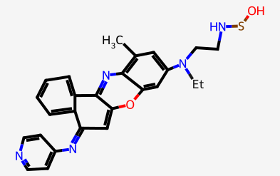 CCN(CCNSO)c1cc(C)c2nc3c4ccccc4/c(=N\c4ccncc4)cc-3oc2c1